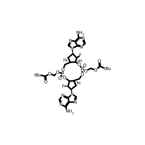 CC(C)(C)C(=O)OCOP1(=O)OC[C@H]2C[C@@H](n3cnc4c(N)ncnc43)C(F)[C@H]2OP(=O)(OCOC(=O)C(C)(C)C)OC[C@H]2C[C@@H](n3cnc4c(N)ncnc43)[C@@H](F)C2O1